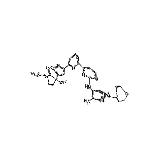 Cc1nn(C2CCOCC2)cc1Nc1nccc(-c2cccc(-c3cc(C4(O)CCN(C)C4=O)on3)n2)n1